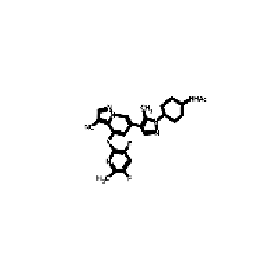 CC(=O)NC1CCC(n2ncc(-c3cc(Sc4nc(C)c(F)cc4F)c4c(C#N)cnn4c3)c2C)CC1